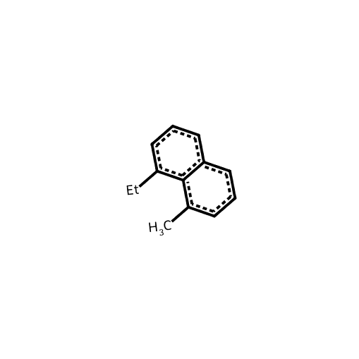 CCc1cccc2cccc(C)c12